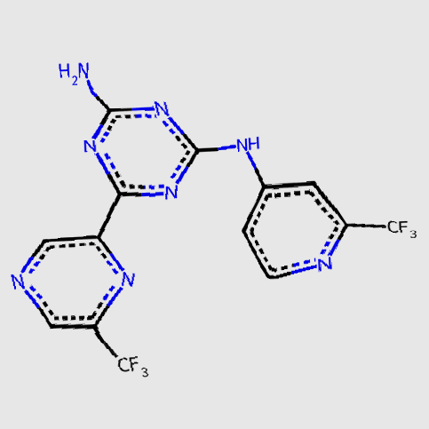 Nc1nc(Nc2ccnc(C(F)(F)F)c2)nc(-c2cncc(C(F)(F)F)n2)n1